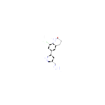 CN1C(=O)CCc2cc(-c3cncc(CN)c3)cc(Cl)c21